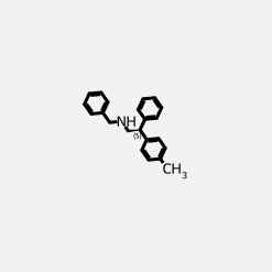 Cc1ccc([C@@H](CNCc2ccccc2)c2ccccc2)cc1